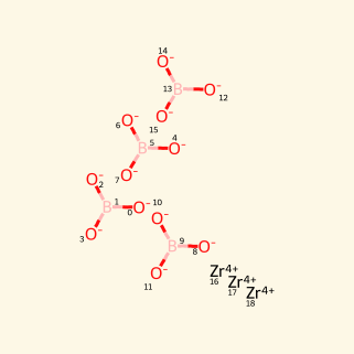 [O-]B([O-])[O-].[O-]B([O-])[O-].[O-]B([O-])[O-].[O-]B([O-])[O-].[Zr+4].[Zr+4].[Zr+4]